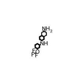 N[C@H]1CCc2cc(Nc3cccc(OC(F)(F)F)c3)ccc2C1